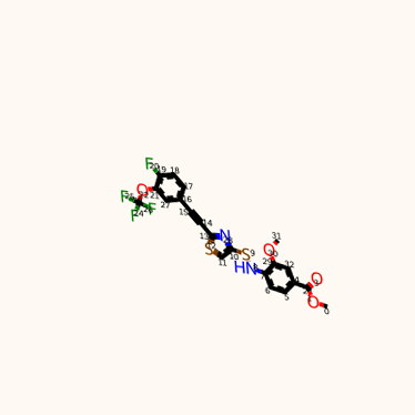 COC(=O)c1ccc(NSc2csc(C#Cc3ccc(F)c(OC(F)(F)F)c3)n2)c(OC)c1